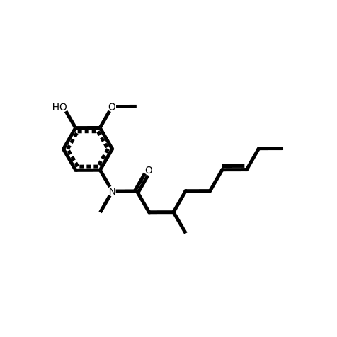 CCC=CCCC(C)CC(=O)N(C)c1ccc(O)c(OC)c1